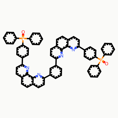 O=P(c1ccccc1)(c1ccccc1)c1ccc(-c2ccc3ccc4ccc(-c5cccc(-c6ccc7ccc8ccc(-c9ccc(P(=O)(c%10ccccc%10)c%10ccccc%10)cc9)nc8c7n6)c5)nc4c3n2)cc1